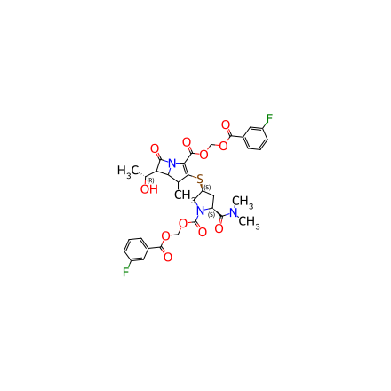 CC1C(S[C@H]2C[C@@H](C(=O)N(C)C)N(C(=O)OCOC(=O)c3cccc(F)c3)C2)=C(C(=O)OCOC(=O)c2cccc(F)c2)N2C(=O)C([C@@H](C)O)C12